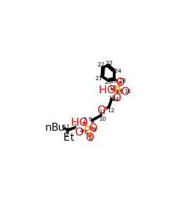 CCCCC(CC)COP(=O)(O)OCCOCCOP(=O)(O)Oc1ccccc1